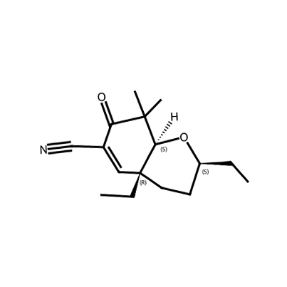 CC[C@H]1CC[C@]2(CC)C=C(C#N)C(=O)C(C)(C)[C@H]2O1